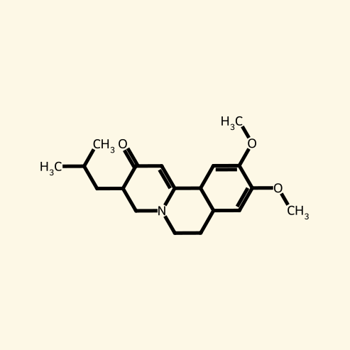 COC1=CC2CCN3CC(CC(C)C)C(=O)C=C3C2C=C1OC